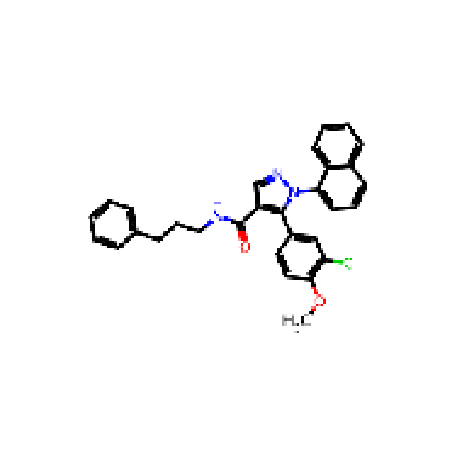 COc1ccc(-c2c(C(=O)NCCCc3ccccc3)cnn2-c2cccc3ccccc23)cc1Cl